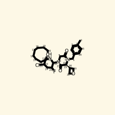 Cc1ccc(CN2C(=O)CN(C3NC4(CCCCCCCC4)C(Cl)CC3F)C(=O)[C@@H]2C2COC2)cc1